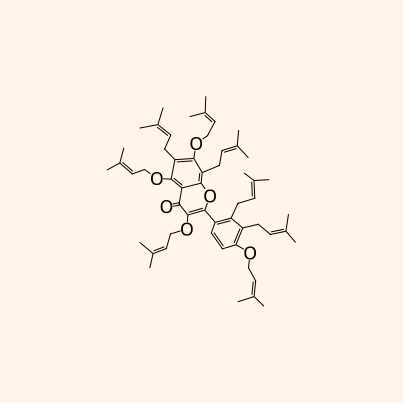 CC(C)=CCOc1ccc(-c2oc3c(CC=C(C)C)c(OCC=C(C)C)c(CC=C(C)C)c(OCC=C(C)C)c3c(=O)c2OCC=C(C)C)c(CC=C(C)C)c1CC=C(C)C